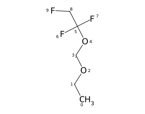 CCO[CH]OC(F)(F)CF